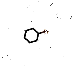 BrC1[CH]CC[CH]C1